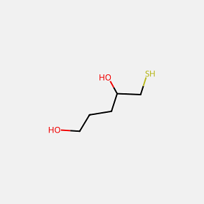 OCCCC(O)CS